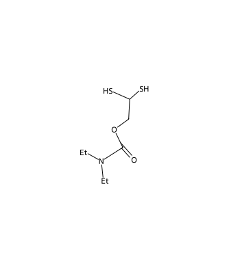 CCN(CC)C(=O)OCC(S)S